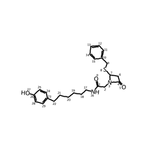 O=C(CN1C(=O)CC1SCc1ccccc1)NCCCCCCc1ccc(O)cc1